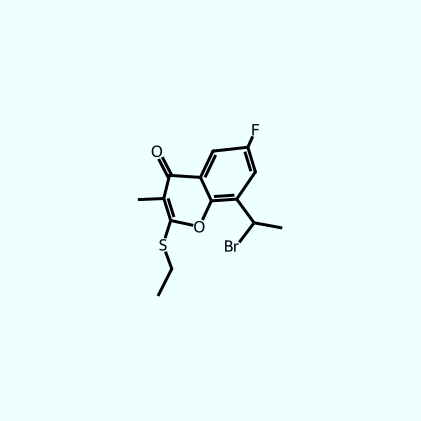 CCSc1oc2c(C(C)Br)cc(F)cc2c(=O)c1C